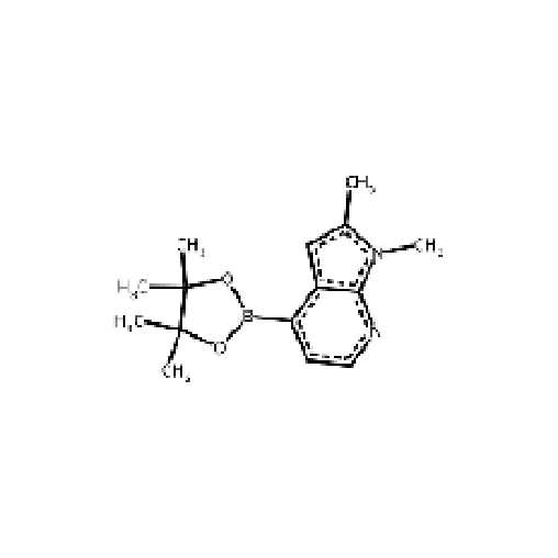 Cc1cc2c(B3OC(C)(C)C(C)(C)O3)ccnc2n1C